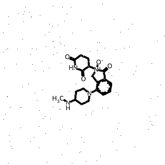 CNC1CCN(c2cccc3c2C[N+]([O-])(C2CCC(=O)NC2=O)C3=O)CC1